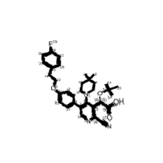 CC1(C)CCN(c2c(-c3ccc(OCCc4ccc(F)cc4)cc3)cnc(C#N)c2[C@H](OC(C)(C)C)C(=O)O)CC1